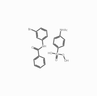 CC(=O)Nc1ccc([As](=O)(O)OO)cc1.O=C(Nc1cccc(Br)c1)c1ccccc1